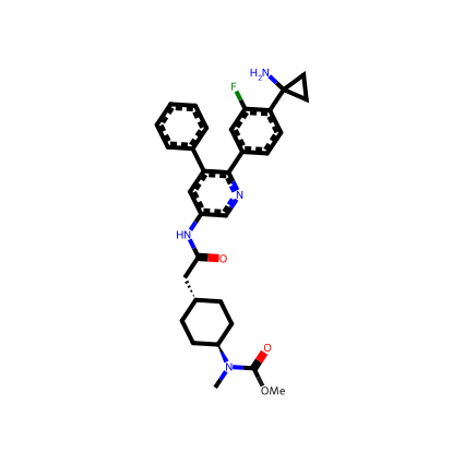 COC(=O)N(C)[C@H]1CC[C@H](CC(=O)Nc2cnc(-c3ccc(C4(N)CC4)c(F)c3)c(-c3ccccc3)c2)CC1